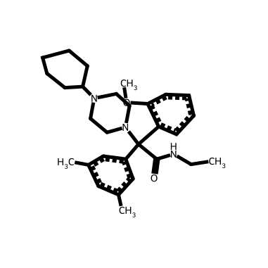 CCNC(=O)C(c1cc(C)cc(C)c1)(c1ccccc1OC)N1CCN(C2CCCCC2)CC1